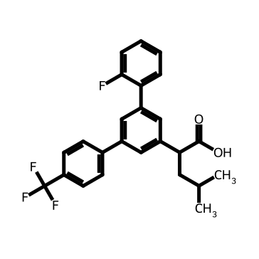 CC(C)CC(C(=O)O)c1cc(-c2ccc(C(F)(F)F)cc2)cc(-c2ccccc2F)c1